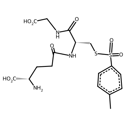 Cc1ccc(S(=O)(=O)SC[C@H](NC(=O)CC[C@H](N)C(=O)O)C(=O)NCC(=O)O)cc1